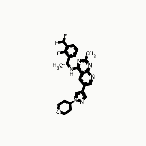 Cc1nc(N[C@H](C)c2cccc(C(F)F)c2F)c2cc(-c3cnn(C4CCOCC4)c3)cnc2n1